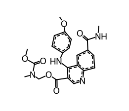 CNC(=O)c1ccc2ncc(C(=O)OCN(C)C(=O)OC)c(Nc3ccc(OC)cc3)c2c1